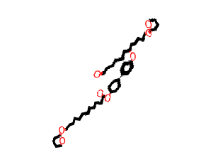 O=CCCCCCC(CCCCCOC1CCCCO1)Oc1ccc([C@H]2CC[C@H](OC(=O)CCCCCCCCCCCOC3CCCCO3)CC2)cc1